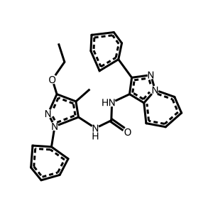 CCOc1nn(-c2ccccc2)c(NC(=O)Nc2c(-c3ccccc3)nn3ccccc23)c1C